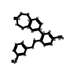 Cc1ccnc(COc2ccc(C)nc2-c2ccc3c(c2)CCNCC3)c1